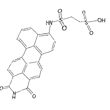 O=C1NC(=O)c2ccc3c4ccc(NS(=O)(=O)CCS(=O)(=O)O)c5cccc(c6ccc1c2c63)c54